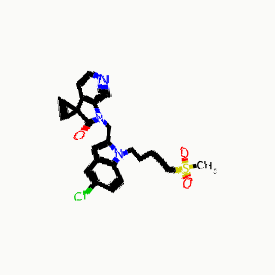 CS(=O)(=O)CCCCn1c(CN2C(=O)C3(CC3)c3ccncc32)cc2cc(Cl)ccc21